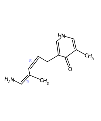 CC(/C=C\Cc1c[nH]cc(C)c1=O)=C/N